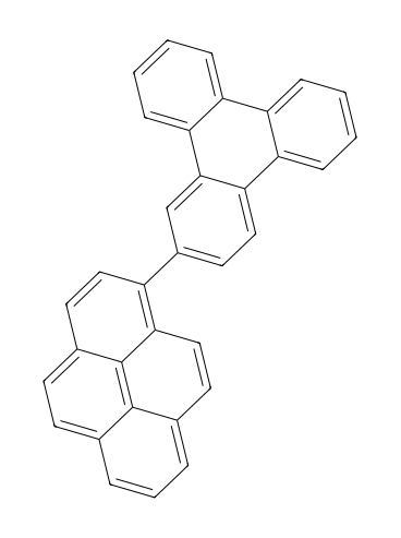 c1cc2ccc3ccc(-c4ccc5c6ccccc6c6ccccc6c5c4)c4ccc(c1)c2c34